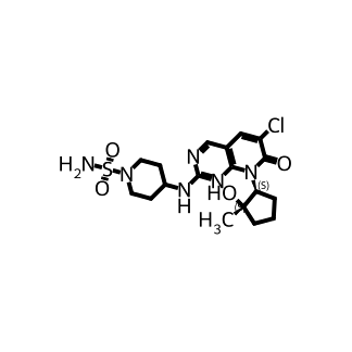 C[C@]1(O)CCC[C@@H]1n1c(=O)c(Cl)cc2cnc(NC3CCN(S(N)(=O)=O)CC3)nc21